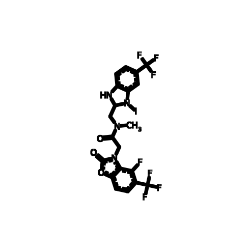 CN(CC1Nc2ccc(C(F)(F)F)cc2N1I)C(=O)Cn1c(=O)oc2ccc(C(F)(F)F)c(F)c21